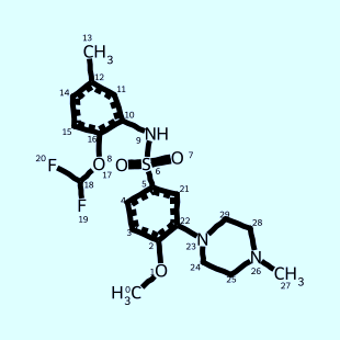 COc1ccc(S(=O)(=O)Nc2cc(C)ccc2OC(F)F)cc1N1CCN(C)CC1